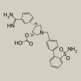 N=C(N)c1cccc([C@@H]2CN(Cc3ccc(-c4ccccc4S(N)(=O)=O)cc3)C[C@@H]2OC(=O)O)c1